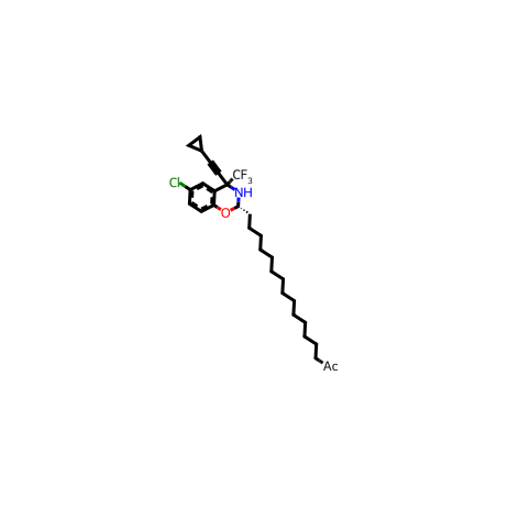 CC(=O)CCCCCCCCCCCCCC[C@H]1NC(C#CC2CC2)(C(F)(F)F)c2cc(Cl)ccc2O1